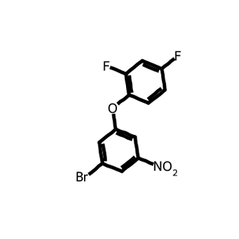 O=[N+]([O-])c1cc(Br)cc(Oc2ccc(F)cc2F)c1